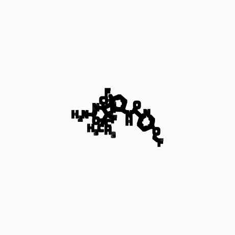 CC1(C)OC(N)=N[C@](C)(c2cc(NC(=O)c3ccc(OCF)cn3)ccc2F)C1(F)F